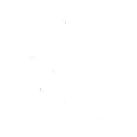 CNC[N+]1(Cc2ccncc2)C=NC(C(C)C)=C1Sc1ccccc1